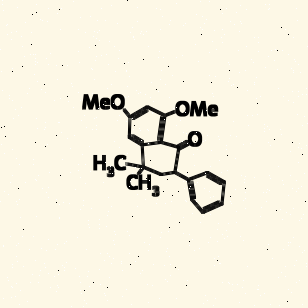 COc1cc(OC)c2c(c1)C(C)(C)CC(c1ccccc1)C2=O